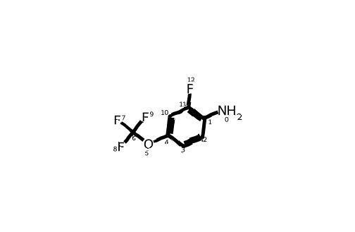 Nc1[c]cc(OC(F)(F)F)cc1F